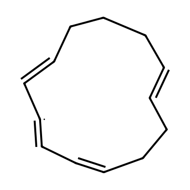 [C]1=C/C=C\CC/C=C/CCC/C=C/1